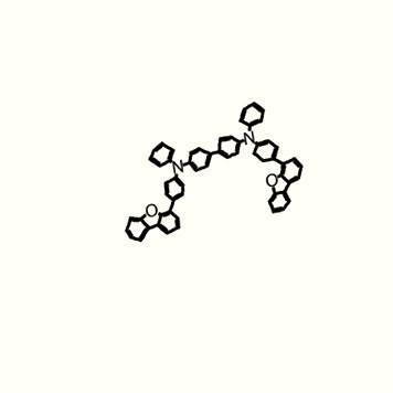 C1=C(c2cccc3c2oc2ccccc23)CCC(N(c2ccccc2)c2ccc(-c3ccc(N(c4ccccc4)c4ccc(-c5cccc6c5oc5ccccc56)cc4)cc3)cc2)=C1